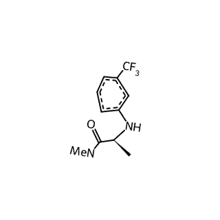 CNC(=O)[C@H](C)Nc1cccc(C(F)(F)F)c1